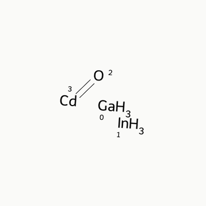 [GaH3].[InH3].[O]=[Cd]